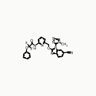 Cn1nnnc1-n1c(OCc2cccc(NC(=O)C(F)(F)Oc3ccccc3)n2)nc2ccc(C#N)cc21